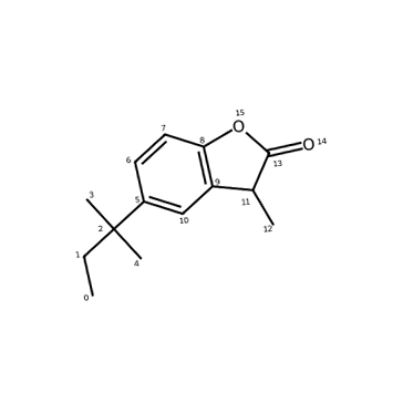 CCC(C)(C)c1ccc2c(c1)C(C)C(=O)O2